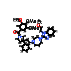 CCOCCn1c(N2CCCN(CCC3(c4ccccc4)CCN(C(=O)c4cc(OC)c(OC)c(OCC)c4)C3)CC2)nc2ccccc21